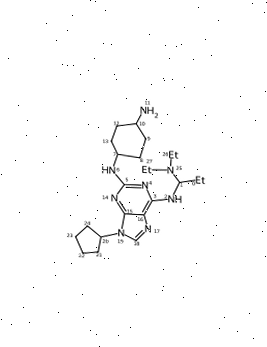 CCC(Nc1nc(NC2CCC(N)CC2)nc2c1ncn2C1CCCC1)N(CC)CC